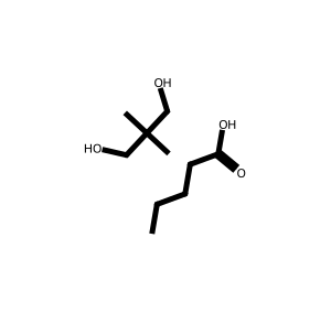 CC(C)(CO)CO.CCCCC(=O)O